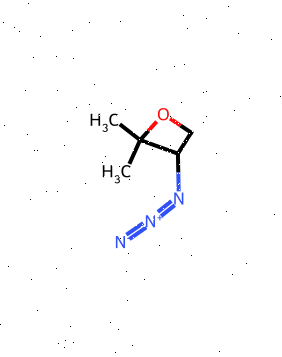 CC1(C)OCC1N=[N+]=[N-]